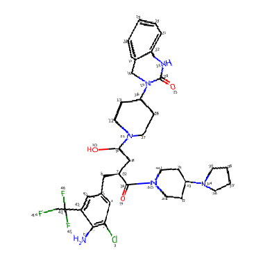 Nc1c(Cl)cc(C[C@@H](CC(O)N2CCC(N3Cc4ccccc4NC3=O)CC2)C(=O)N2CCC(N3CCCC3)CC2)cc1C(F)(F)F